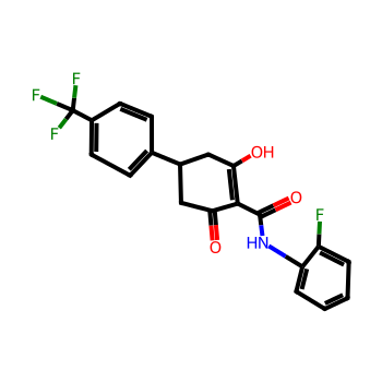 O=C1CC(c2ccc(C(F)(F)F)cc2)CC(O)=C1C(=O)Nc1ccccc1F